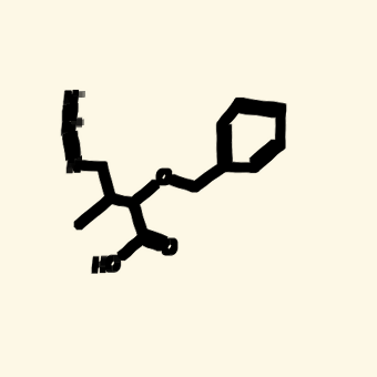 CC(CN=[N+]=[N-])C(OCc1ccccc1)C(=O)O